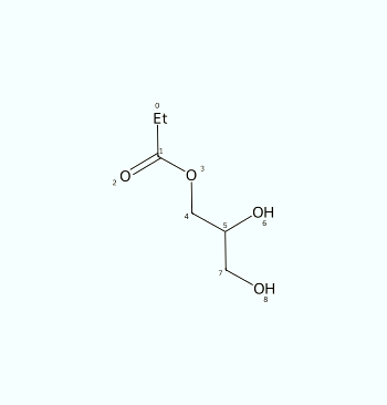 CCC(=O)OCC(O)CO